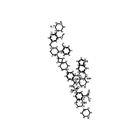 COc1cc(CN2CCN(C3CC4(CCN(c5ccc(C(=O)NS(=O)(=O)c6cc7c(c([N+](=O)[O-])c6)N[C@H](C6CCOCC6)CO7)c(N6c7cc8cc[nH]c8nc7O[C@H]7COCC[C@@H]76)c5)CC4)C3)[C@H](c3ccccc3C)C2)cnc1N1CCOC[C@H]1C